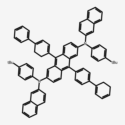 CC(C)(C)c1ccc(N(c2ccc3ccccc3c2)c2ccc3c(-c4ccc(C5=CC=CCC5)cc4)c4cc(N(c5ccc(C(C)(C)C)cc5)c5ccc6ccccc6c5)ccc4c(C4=CC=C(c5ccccc5)CC4)c3c2)cc1